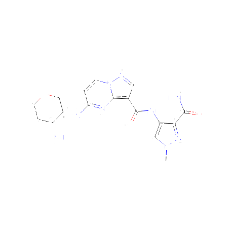 Cn1cc(NC(=O)c2cnn3ccc(N[C@H]4COCC[C@H]4N)nc23)c(C(N)=O)n1